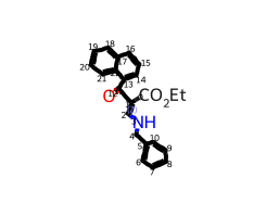 CCOC(=O)/C(=C\NCc1ccccc1)C(=O)c1cccc2ccccc12